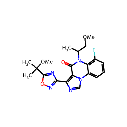 COCC(C)n1c(=O)c2c(-c3noc(C(C)(C)OC)n3)ncn2c2cccc(F)c21